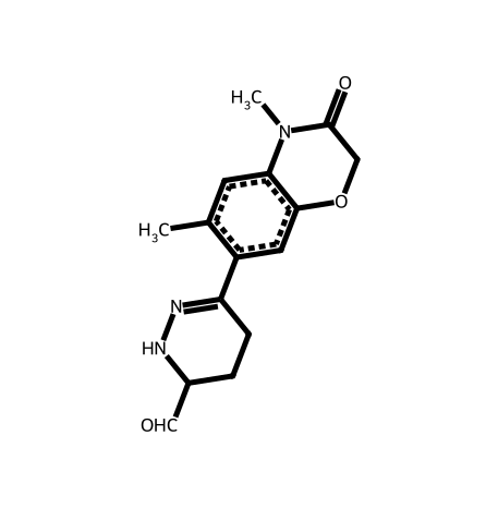 Cc1cc2c(cc1C1=NNC(C=O)CC1)OCC(=O)N2C